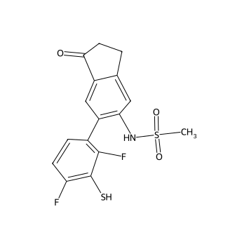 CS(=O)(=O)Nc1cc2c(cc1-c1ccc(F)c(S)c1F)C(=O)CC2